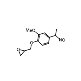 COc1cc(C(C)N=O)ccc1OCC1CO1